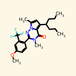 CCCC(CCC)c1cc(C)n2nc(-c3ccc(OC)cc3C(F)(F)F)n(C)c(=O)c12